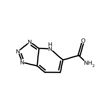 NC(=O)c1ccc2nnnc-2[nH]1